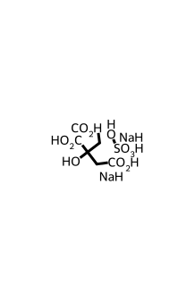 O=C(O)CC(O)(CC(=O)O)C(=O)O.O=S(=O)(O)O.[NaH].[NaH]